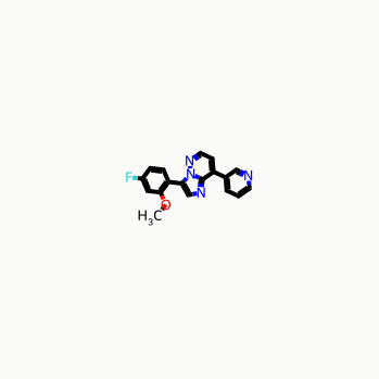 COc1cc(F)ccc1-c1cnc2c(-c3cccnc3)ccnn12